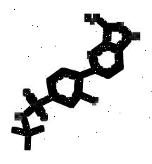 CC(C)(C)NS(=O)(=O)c1ccc(-c2ccc3[nH]nc(N)c3n2)c(F)c1